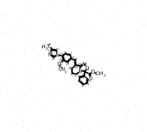 COC(=O)C1(c2ccccc2)ON=C2/C(=C/c3ccc(-n4cnc(C)c4)c(OC)c3)CCCN21